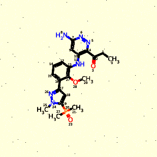 CCC(=O)c1nnc(N)cc1Nc1cccc(-c2cc(P(C)(C)=O)n(C)n2)c1OC